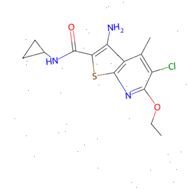 CCOc1nc2sc(C(=O)NC3CC3)c(N)c2c(C)c1Cl